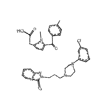 Cc1ccc(C(=O)c2ccc(CC(=O)O)n2C)cc1.O=c1n(CCCN2CCN(c3cccc(Cl)c3)CC2)nc2ccccn12